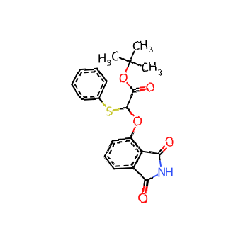 CC(C)(C)OC(=O)C(Oc1cccc2c1C(=O)NC2=O)Sc1ccccc1